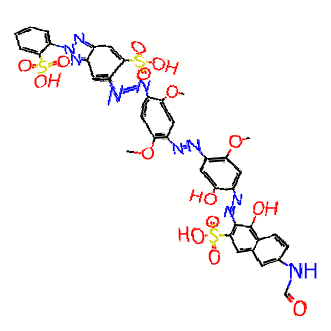 COc1cc(N=Nc2c(S(=O)(=O)O)cc3cc(NC=O)ccc3c2O)c(O)cc1N=Nc1cc(OC)c(N=Nc2cc3nn(-c4ccccc4S(=O)(=O)O)nc3cc2S(=O)(=O)O)cc1OC